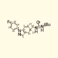 CC1=Cc2c(cnn2-c2ccc(F)cc2)C[C@]1(C)CNC(=O)NC(C)(C)C